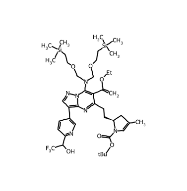 C=C(OCC)c1c(CC[C@H]2CC(C)=CN2C(=O)OC(C)(C)C)nc2c(-c3ccc(C(O)C(F)(F)F)nc3)cnn2c1N(COCC[Si](C)(C)C)COCC[Si](C)(C)C